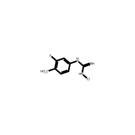 N=C(NCl)Nc1ccc(C(=O)O)c(F)c1